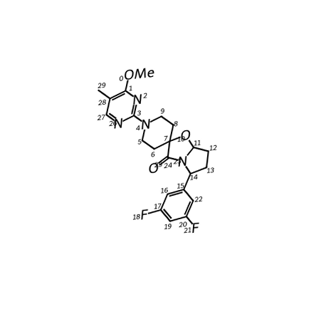 COc1nc(N2CCC3(CC2)OC2CCC(c4cc(F)cc(F)c4)N2C3=O)ncc1C